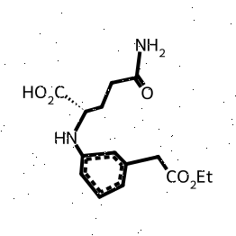 CCOC(=O)Cc1cccc(N[C@@H](CCC(N)=O)C(=O)O)c1